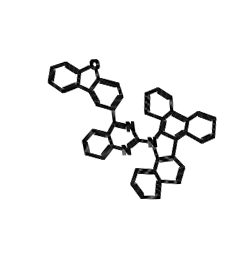 c1ccc2c(c1)ccc1c3c4ccccc4c4ccccc4c3n(-c3nc(-c4ccc5oc6ccccc6c5c4)c4ccccc4n3)c21